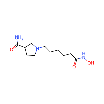 NC(=O)C1CCN(CCCCCC(=O)NO)C1